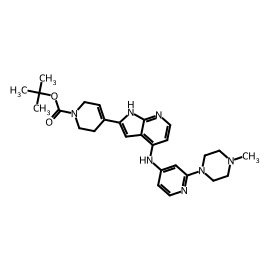 CN1CCN(c2cc(Nc3ccnc4[nH]c(C5=CCN(C(=O)OC(C)(C)C)CC5)cc34)ccn2)CC1